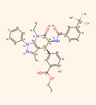 CCOC(=O)c1cc([C@H]2c3c(C)nn(-c4ccccc4)c3N(CC)C(=O)[C@H]2NC(=O)c2cccc(C(F)(F)F)c2)ccc1F